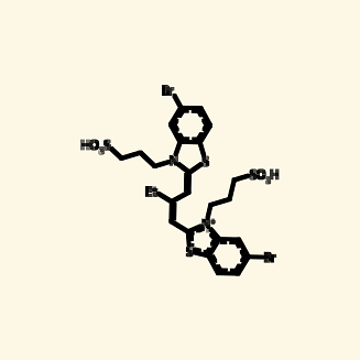 CCC(=Cc1sc2ccc(Br)cc2[n+]1CCCS(=O)(=O)O)C=C1Sc2ccc(Br)cc2N1CCCS(=O)(=O)O